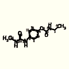 CCNC(=O)Oc1ccc(NC(=O)NC)cc1